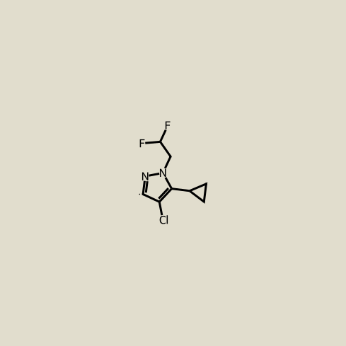 FC(F)Cn1n[c]c(Cl)c1C1CC1